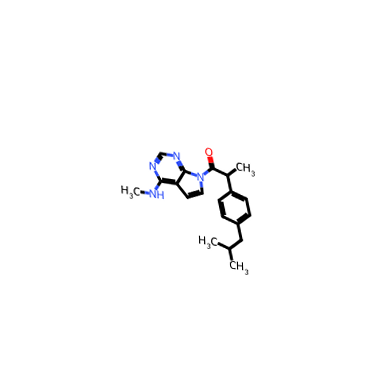 CNc1ncnc2c1ccn2C(=O)C(C)c1ccc(CC(C)C)cc1